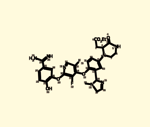 CCOC(=O)CC1C(=O)NCCN1c1ccc(Oc2c(F)cnc(Oc3cc(C(=N)N)ccc3O)c2F)c(C2N=CCN2C)c1